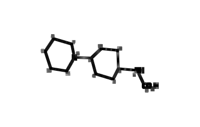 O=C(O)NC1CCC(N2CCCCC2)CC1